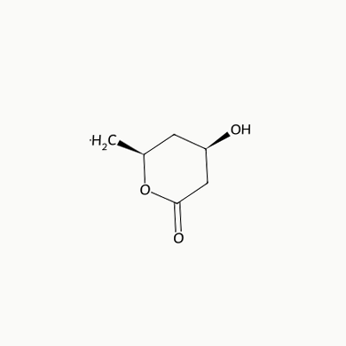 [CH2][C@H]1C[C@@H](O)CC(=O)O1